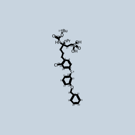 CCCC(CCCc1ccc(Sc2cccc(OCc3ccccc3)c2)cc1Cl)(CCP(=O)(O)O)NC(=O)OC(C)(C)C